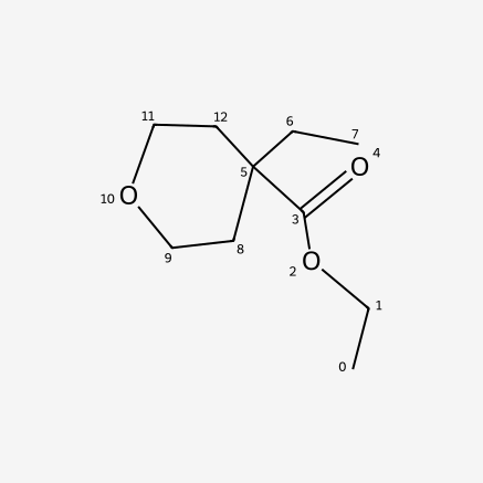 CCOC(=O)C1(CC)CCOCC1